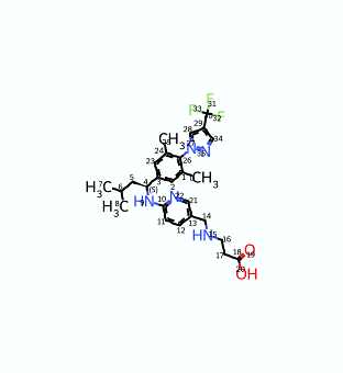 Cc1cc([C@H](CC(C)C)Nc2ccc(CNCCC(=O)O)cn2)cc(C)c1-n1cc(C(F)(F)F)cn1